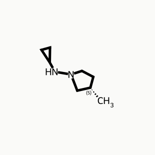 C[C@H]1CCN(NC2CC2)C1